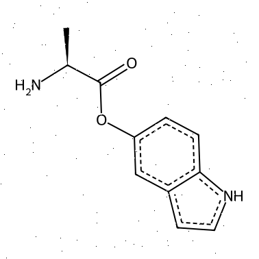 C[C@H](N)C(=O)Oc1ccc2[nH]ccc2c1